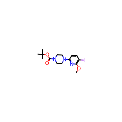 COc1nc(N2CCN(C(=O)OC(C)(C)C)CC2)ccc1I